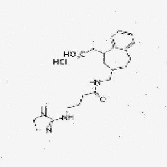 Cl.O=C(O)CC1CC(CNC(=O)CCCNC2=NCCN2)=CCc2ccccc21